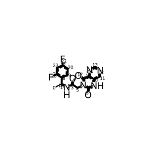 C[C@H](NC(=O)Cn1c(=O)[nH]c2cncnc2c1=O)c1ccc(F)cc1F